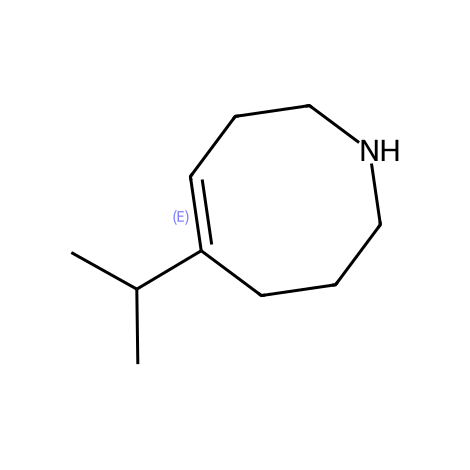 CC(C)/C1=C/CCNCCC1